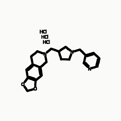 Cl.Cl.Cl.c1cncc(CN2CCC(CN3CCc4cc5c(cc4C3)OCO5)C2)c1